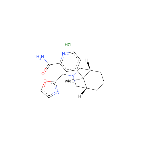 CO[C@@]1(c2ccnc(C(N)=O)c2)[C@@H]2CCC[C@H]1CN(Cc1ncco1)C2.Cl